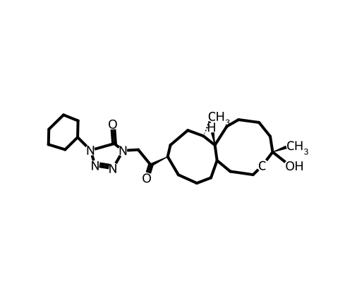 C[C@H]1CC[C@H](C(=O)Cn2nnn(C3CCCCC3)c2=O)CCCC2CCC[C@@](C)(O)CCCC[C@H]21